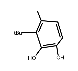 Cc1ccc(O)c(O)c1C(C)(C)C